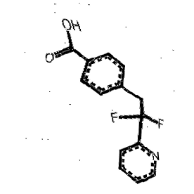 O=C(O)c1ccc(CC(F)(F)c2ccccn2)cc1